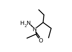 CCC(CC)N(N)C(C)=O